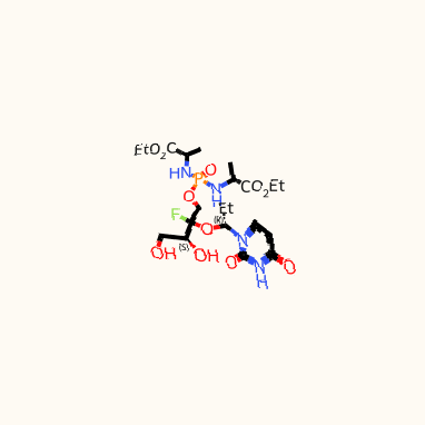 CCOC(=O)C(C)NP(=O)(NC(C)C(=O)OCC)OCC(F)(O[C@H](CC)n1ccc(=O)[nH]c1=O)[C@@H](O)CO